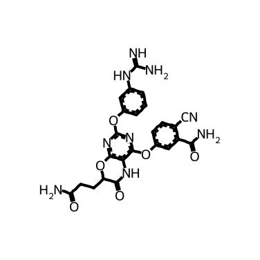 N#Cc1ccc(Oc2nc(Oc3cccc(NC(=N)N)c3)nc3c2NC(=O)C(CCC(N)=O)O3)cc1C(N)=O